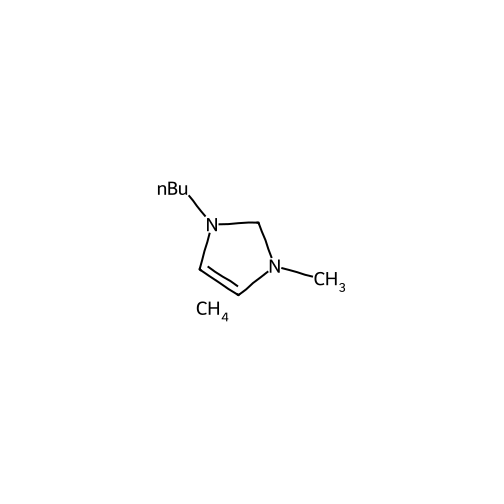 C.CCCCN1C=CN(C)C1